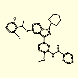 COc1ncc(-c2nn(C3CCCCO3)c3ccc(O[C@H](C)c4c(Cl)cncc4Cl)cc23)cc1NC(=O)c1ccccn1